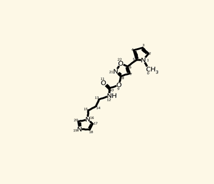 Cn1cccc1-c1cc(OC(=O)NCCCn2ccnc2)no1